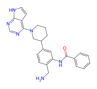 NCc1ccc(C2CCCN(c3ncnc4[nH]ccc34)C2)cc1NC(=O)c1ccccc1